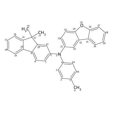 Cc1ccc(N(c2ccc3c(c2)C(C)(C)c2ccccc2-3)c2ccc3oc4ccccc4c3c2)cc1